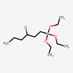 CCCC(Cl)CC[Si](OCC)(OCC)OCC